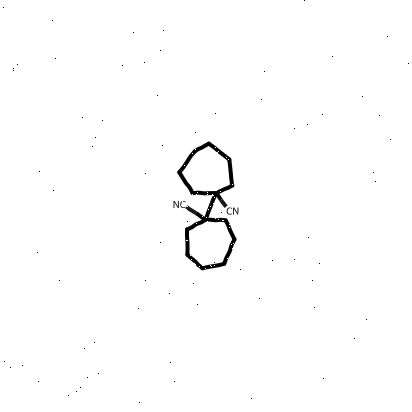 N#CC1(C2(C#N)CCCCCC2)CCCCCC1